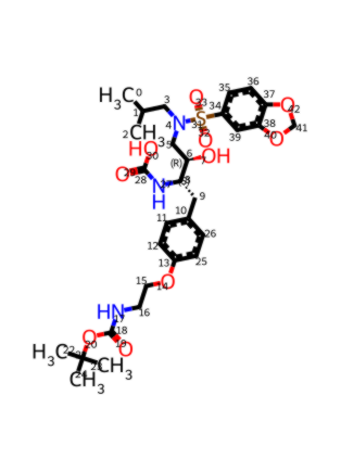 CC(C)CN(C[C@@H](O)[C@H](Cc1ccc(OCCNC(=O)OC(C)(C)C)cc1)NC(=O)O)S(=O)(=O)c1ccc2c(c1)OCO2